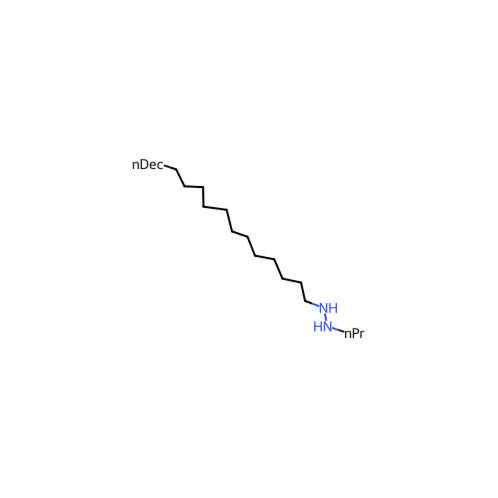 CCCCCCCCCCCCCCCCCCCCCCNNCCC